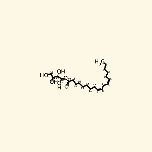 CCCCC/C=C\C/C=C\CCCCCCCC(=O)OC(O)[C@@H](O)[C@@H](O)CO